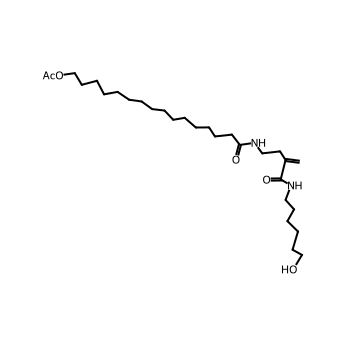 C=C(CCNC(=O)CCCCCCCCCCCCCCCOC(C)=O)C(=O)NCCCCCCO